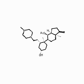 C=C1CC[C@@H]2[C@H](OC(C)=O)[C@H]([C@@]3(C)CC[C@H](O)C[C@@H]3CCN3CCN(C)CC3)CC[C@]12C